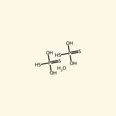 O.OP(O)(=S)S.OP(O)(=S)S